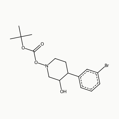 CC(C)(C)OC(=O)ON1CCC(c2cccc(Br)c2)C(O)C1